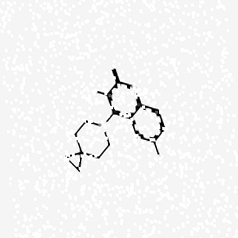 N#Cc1c(N2CCC3(CC2)CC3)c2cc(C(=O)O)ccc2[nH]c1=O